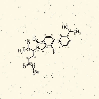 CC(O)c1ccnc(-c2ccc3c(c2F)CN(C(CCC(=O)OC(C)(C)C)C(N)=O)C3=O)c1